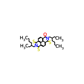 CCCCC(CC)CN1C(=O)c2ccc3c4c(ccc(c24)C1=S)C(=S)N(CC(CC)CCCC)C3=S